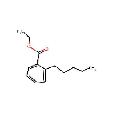 CCCCCc1ccccc1C(=O)OCC